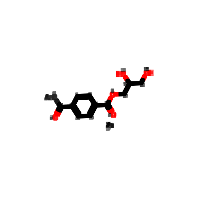 CC(=O)OC(=O)c1ccc(C(=O)OCC(O)CO)cc1.[Zn]